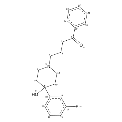 O=C(CCCN1CCC(O)(c2cccc(F)c2)CC1)c1ccccc1